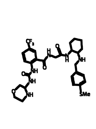 CSc1ccc(CNC2CCCCC2NC(=O)CNC(=O)c2cc(C(F)(F)F)ccc2NC(=O)NC2COCCN2)cc1